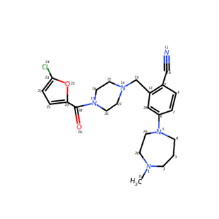 CN1CCCN(c2ccc(C#N)c(CN3CCN(C(=O)c4ccc(Cl)o4)CC3)c2)CC1